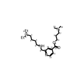 CCN(CC)CCCCNCc1cc(C(=O)OCCCN(C)C)ccn1